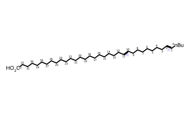 CCCC/C=C/CCCCCCC/C=C/CCCCCCCCCCCCCCCCCCCCCC(=O)O